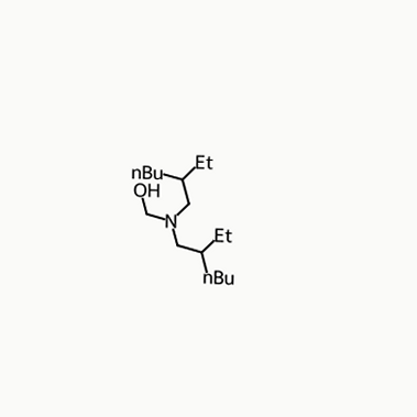 CCCCC(CC)CN(CO)CC(CC)CCCC